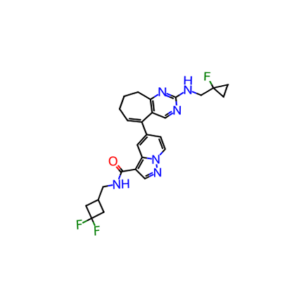 O=C(NCC1CC(F)(F)C1)c1cnn2ccc(C3=CCCCc4nc(NCC5(F)CC5)ncc43)cc12